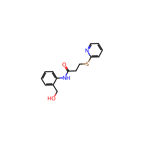 O=C(CCSc1ccccn1)Nc1ccccc1CO